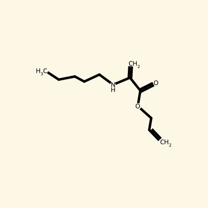 C=CCOC(=O)C(=C)NCCCCC